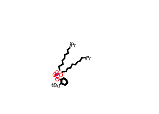 CC(C)CCCCCCCCCOP(=O)(OCCCCCCCCCC(C)C)Oc1ccccc1C(C)(C)C